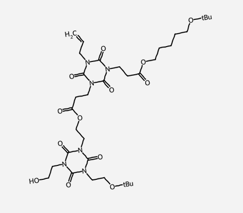 C=CCn1c(=O)n(CCC(=O)OCCCCCOC(C)(C)C)c(=O)n(CCC(=O)OCCn2c(=O)n(CCO)c(=O)n(CCOC(C)(C)C)c2=O)c1=O